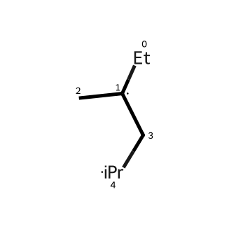 CC[C](C)C[C](C)C